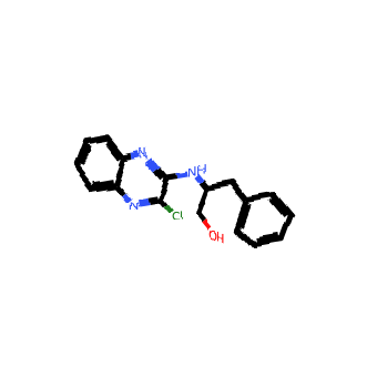 OCC(Cc1ccccc1)Nc1nc2ccccc2nc1Cl